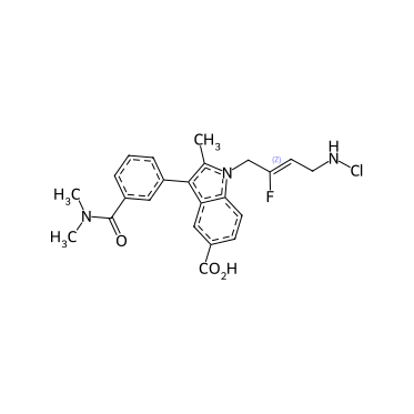 Cc1c(-c2cccc(C(=O)N(C)C)c2)c2cc(C(=O)O)ccc2n1C/C(F)=C/CNCl